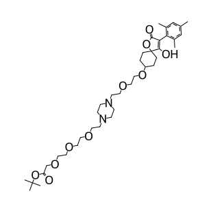 Cc1cc(C)c(C2=C(O)C3(CCC(OCCOCCN4CCN(CCOCCOCCOCC(=O)OC(C)(C)C)CC4)CC3)OC2=O)c(C)c1